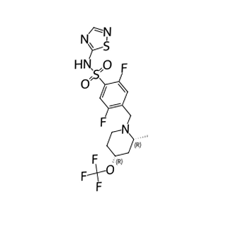 C[C@@H]1C[C@H](OC(F)(F)F)CCN1Cc1cc(F)c(S(=O)(=O)Nc2ncns2)cc1F